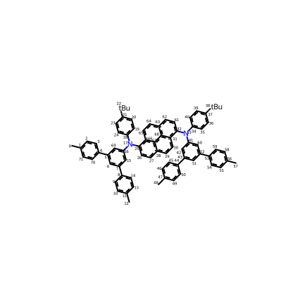 Cc1ccc(-c2cc(-c3ccc(C)cc3)cc(N(c3ccc(C(C)(C)C)cc3)c3ccc4ccc5c(N(c6ccc(C(C)(C)C)cc6)c6cc(-c7ccc(C)cc7)cc(-c7ccc(C)cc7)c6)ccc6ccc3c4c65)c2)cc1